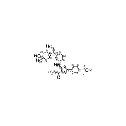 CC(C)(O)c1ccc(-c2nc(C(N)=O)c(Nc3cccc(C(CO)N4CCS(O)(O)CC4)n3)s2)cc1